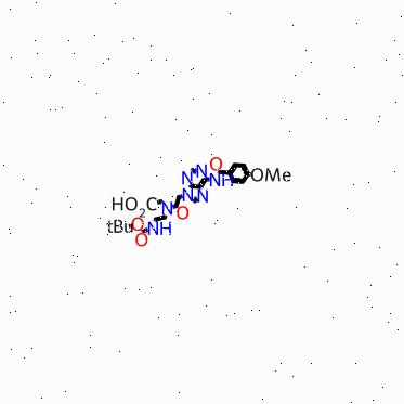 COc1ccc(C(=O)Nc2ncnc3c2ncn3CC(=O)N(CCNC(=O)OC(C)(C)C)CC(=O)O)cc1